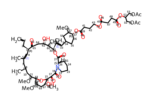 C=CC[C@@H]1/C=C(\C)C[C@H](C)C[C@H](OC)[C@H]2O[C@@](O)(C(=O)C(=O)N3CCCC[C@H]3C(=O)O[C@H](/C(C)=C/C3CC[C@@H](OC(=O)CCCOC(=O)CCC(=O)OC(COC(C)=O)COC(C)=O)[C@H](OC)C3)[C@H](C)[C@@H](O)CC1=O)[C@H](C)C[C@@H]2OC